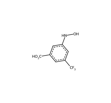 O=C(O)c1cc(NO)cc(C(F)(F)F)c1